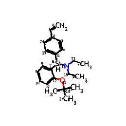 C=Cc1ccc([SiH](c2ccccc2OC(C)(C)C)N(CC)CC)cc1